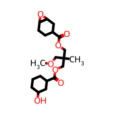 COCC(C)(COC(=O)C1CCCC(O)C1)COC(=O)C1CCC2OC2C1